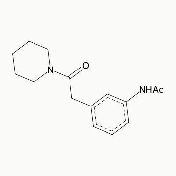 CC(=O)Nc1cccc(CC(=O)N2CCCCC2)c1